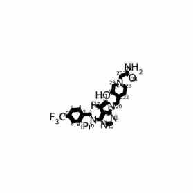 CC(C)N(Cc1ccc(C(F)(F)F)cc1)c1ncnc2c1c(F)cn2CC1CCN(CC(N)=O)CC1O